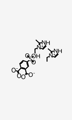 CC[n+]1cc[nH]c1C.CC[n+]1cc[nH]c1C.O=C([O-])c1ccc(S(=O)(=O)O)cc1C(=O)[O-]